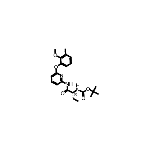 CC[C@@H](NC(=O)OC(C)(C)C)C(=O)Nc1cccc(Oc2cccc(C)c2OC)n1